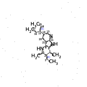 C=C/C(=C\C)C(=C)Nc1c[nH]c2ncc(/C(C=C)=C/C)cc12